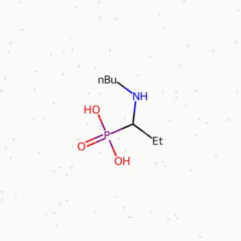 CCCCNC(CC)P(=O)(O)O